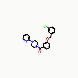 O=C(c1cccc(OCc2cccc(Cl)c2)c1)N1CCN(c2ccccn2)CC1